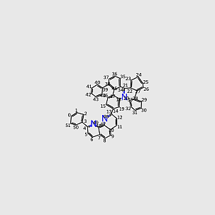 c1ccc(-c2ccc3ccc4ccc(-c5ccc6c(c5)nc(-c5ccccc5-c5ccccc5)c5cccc(-c7ccccc7)c56)nc4c3n2)cc1